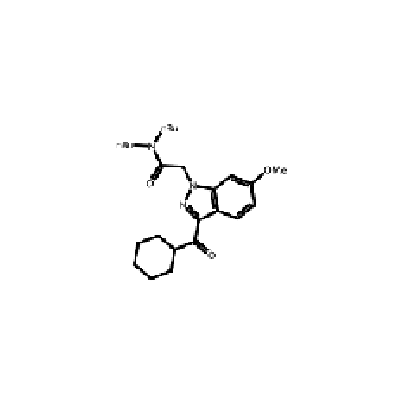 CCCCN(CCCC)C(=O)Cn1nc(C(=O)C2CCCCC2)c2ccc(OC)cc21